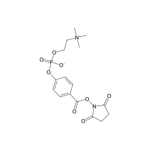 C[N+](C)(C)CCOP(=O)([O-])Oc1ccc(C(=O)ON2C(=O)CCC2=O)cc1